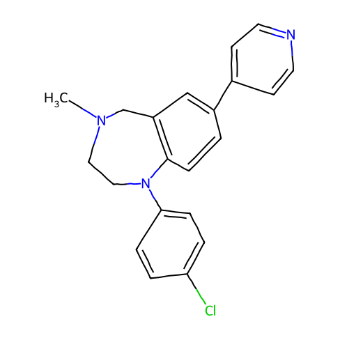 CN1CCN(c2ccc(Cl)cc2)c2ccc(-c3ccncc3)cc2C1